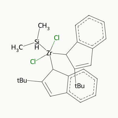 C[SiH](C)[Zr]([Cl])([Cl])([CH]1C(C(C)(C)C)=Cc2ccccc21)[CH]1C(C(C)(C)C)=Cc2ccccc21